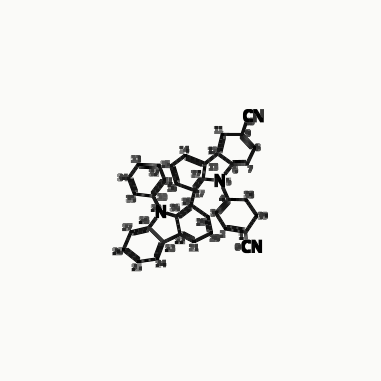 N#CC1=CC=C(n2c3ccc(C#N)cc3c3cccc(-c4cccc5c6ccccc6n(-c6ccccc6)c45)c32)CC1